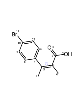 C/C(C(=O)O)=C(\C)c1ccc(Br)cc1